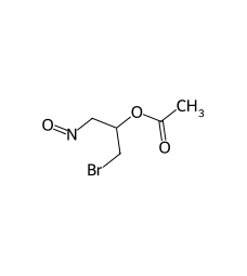 CC(=O)OC(CBr)CN=O